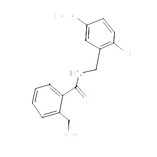 O=C(O)c1ccc(Br)c(CNC(=O)c2ccccc2CO)c1